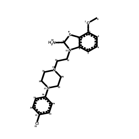 COc1cccc2c1SC(N)N2CCN1CCN(c2ccc(Cl)cc2)CC1